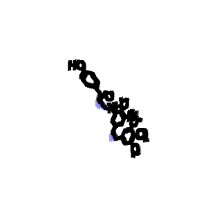 COc1cc(/C=C\c2cc(Br)c(OC)c(N/C=C\C(=O)c3ccc(O)cc3)c2)cc(OC)c1OC